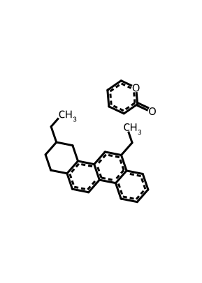 CCc1cc2c3c(ccc2c2ccccc12)CCC(CC)C3.O=c1cccco1